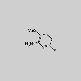 CSc1ccc(F)nc1N